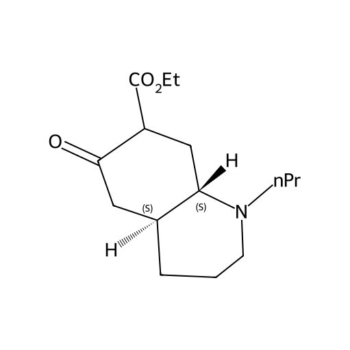 CCCN1CCC[C@H]2CC(=O)C(C(=O)OCC)C[C@@H]21